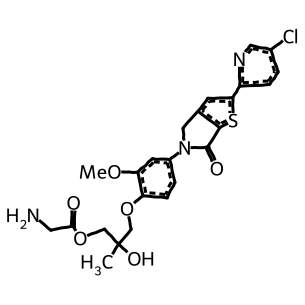 COc1cc(N2Cc3cc(-c4ccc(Cl)cn4)sc3C2=O)ccc1OCC(C)(O)COC(=O)CN